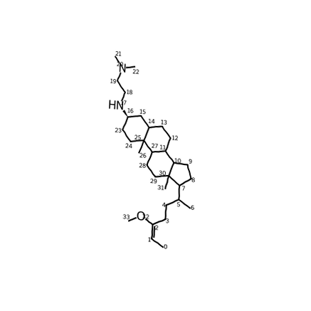 C/C=C(\CCC(C)C1CCC2C3CCC4C[C@H](NCCN(C)C)CCC4(C)C3CCC12C)OC